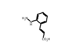 NNc1ccccc1C=CC(=O)O